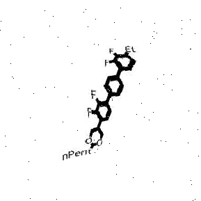 CCCCCC1OCC(c2ccc(-c3ccc(-c4ccc(CC)c(F)c4F)cc3)c(F)c2F)CO1